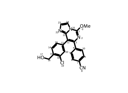 COc1nc(-c2ccc(C#N)cc2)c(-c2ccc(CO)c(Cl)c2)c2nccn12